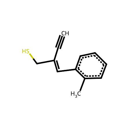 C#C/C(=C\c1ccccc1C)CS